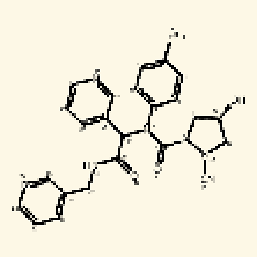 CC(C)(C)c1ccc(N(C(=O)[C@H]2C[C@@H](O)CN2C#N)C(C(=O)NCc2cccnc2)c2cccnc2)cc1